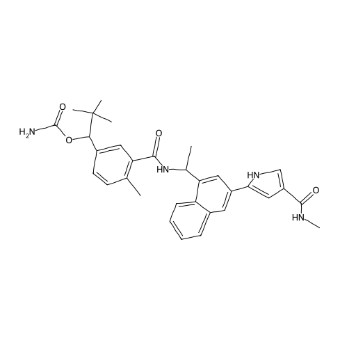 CNC(=O)c1c[nH]c(-c2cc(C(C)NC(=O)c3cc(C(OC(N)=O)C(C)(C)C)ccc3C)c3ccccc3c2)c1